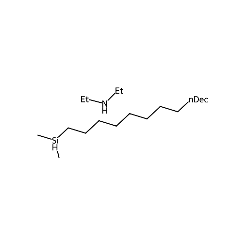 CCCCCCCCCCCCCCCCCC[SiH](C)C.CCNCC